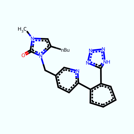 CCCCc1cn(C)c(=O)n1Cc1ccc(-c2ccccc2-c2nnn[nH]2)nc1